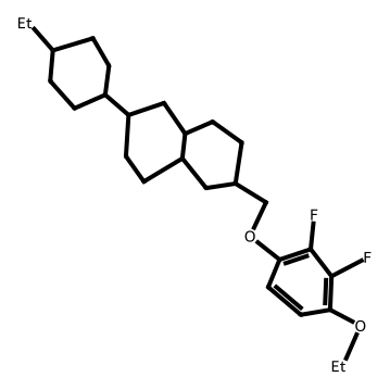 CCOc1ccc(OCC2CCC3CC(C4CCC(CC)CC4)CCC3C2)c(F)c1F